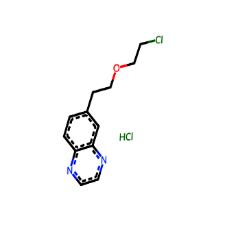 Cl.ClCCOCCc1ccc2nccnc2c1